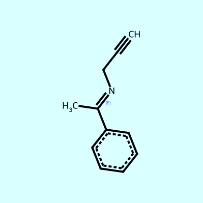 C#CC/N=C(\C)c1ccccc1